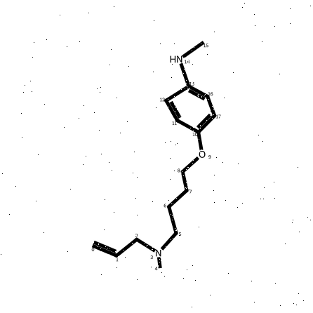 C=CCN(C)CCCCOc1ccc(NC)cc1